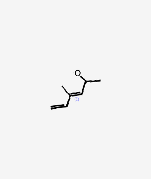 C=C/C(C)=C/C(C)[O]